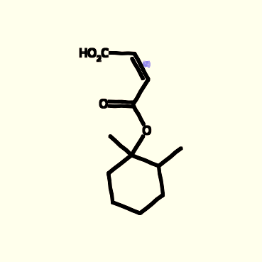 CC1CCCCC1(C)OC(=O)/C=C\C(=O)O